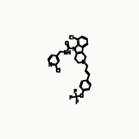 O=C(NCc1ccnc(Cl)c1)n1c2c(c3cccc(Cl)c31)CN(C/C=C/c1ccc(OC(F)(F)F)cc1)CC2